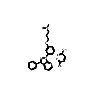 CN(C)CCCOc1cccc(-n2nc(-c3ccccc3)c3cccnc32)c1.O=C(O)/C=C\C(=O)O